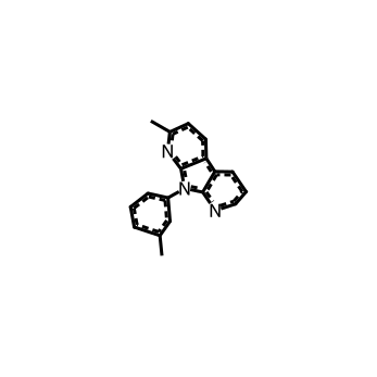 Cc1cccc(-n2c3ncccc3c3ccc(C)nc32)c1